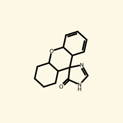 O=C1NC=NC12C1C=CC=CC1OC1CCCCC12